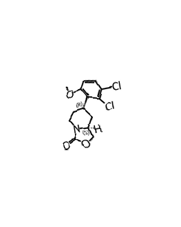 COc1ccc(Cl)c(Cl)c1[C@@H]1CCN2C(=O)OC[C@@H]2C1